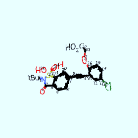 CC(C)(C)N1C(=O)c2ccc(C#Cc3cc(Cl)ccc3OCC(=O)O)cc2S1(O)O